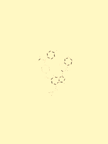 O=C(Nc1ccncc1F)c1cnc2c(NC3CC3)cc(N[C@H]3CC[C@H](N(C(=O)O)c4ccc(F)cc4)CC3)nn12